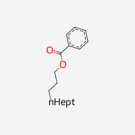 CCCCCCCCCCOC(=O)c1ccccc1